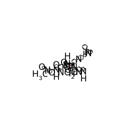 CC(C)c1ccccc1[C@@H]1CCCN1C1CC2(CCN(c3ccc(C(=O)NS(=O)(=O)c4cc5c(c([N+](=O)[O-])c4)N[C@H](C4CN(C6COC6)[C@H](C)CO4)CO5)c(N4c5cc6cc[nH]c6nc5O[C@H]5COC[C@@H]54)c3)CC2)C1